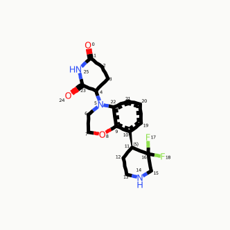 O=C1CCC(N2CCOc3c([C@@H]4CCNCC4(F)F)cccc32)C(=O)N1